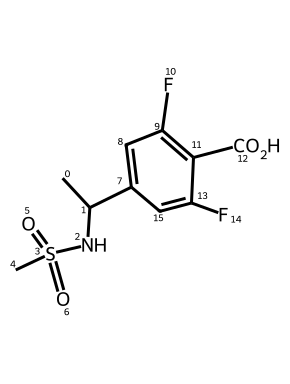 CC(NS(C)(=O)=O)c1cc(F)c(C(=O)O)c(F)c1